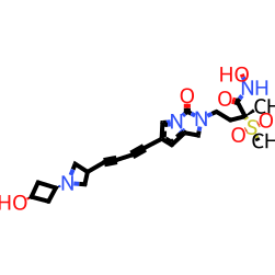 C[C@@](CCN1Cc2cc(C#CC#CC3CN([C@H]4C[C@@H](O)C4)C3)cn2C1=O)(C(=O)NO)S(C)(=O)=O